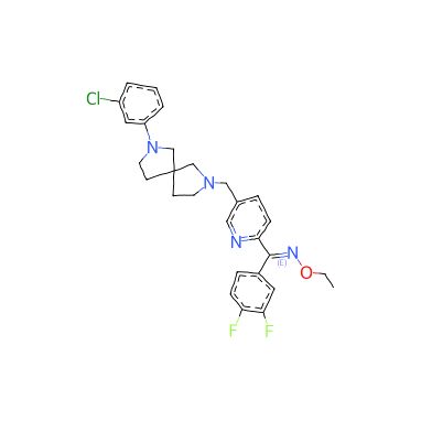 CCO/N=C(\c1ccc(F)c(F)c1)c1ccc(CN2CCC3(CCN(c4cccc(Cl)c4)C3)C2)cn1